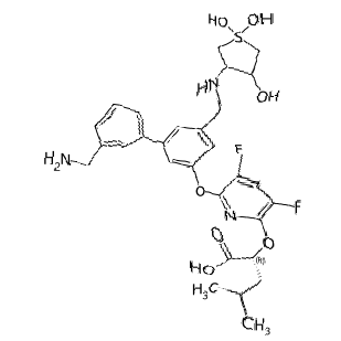 CC(C)C[C@@H](Oc1nc(Oc2cc(CNC3CS(O)(O)CC3O)cc(-c3cccc(CN)c3)c2)c(F)cc1F)C(=O)O